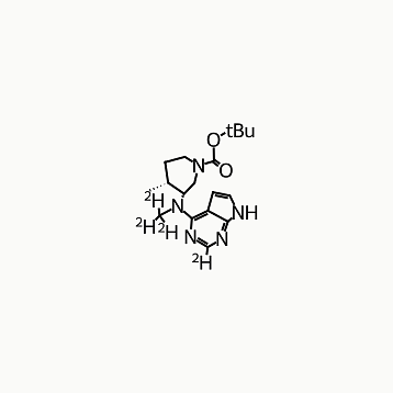 [2H]c1nc(N([C@H]2CN(C(=O)OC(C)(C)C)CC[C@H]2C)C([2H])([2H])[2H])c2cc[nH]c2n1